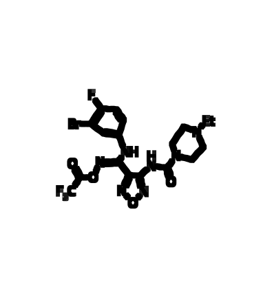 CCN1CCN(C(=O)Nc2nonc2/C(=N\OC(=O)C(F)(F)F)Nc2ccc(F)c(Br)c2)CC1